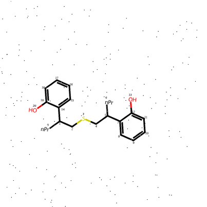 CCCC(CSCC(CCC)c1ccccc1O)c1ccccc1O